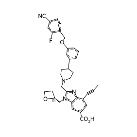 CC#Cc1cc(C(=O)O)cc2c1nc(CN1CCC(c3cccc(OCc4ccc(C#N)cc4F)c3)CC1)n2C[C@@H]1CCO1